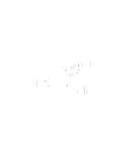 CCCn1cnc(C[C@H](CCCN)C(=O)O)c1